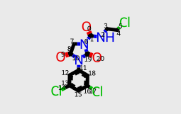 O=C(NCCCl)N1CC(=O)N(c2cc(Cl)cc(Cl)c2)C1=O